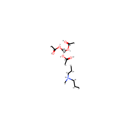 CC(=O)O[SiH](OC(C)=O)OC(C)=O.CCCN(C)CCC